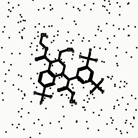 CCOC(=O)N1c2ccc(C(F)(F)F)cc2N(C(C(=O)OC)c2cc(C(F)(F)F)cc(C(F)(F)F)c2)C[C@@H]1CC